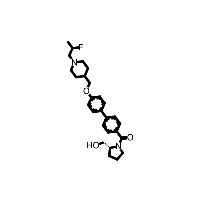 CC(F)CN1CCC(COc2ccc(-c3ccc(C(=O)N4CCC[C@@H]4CO)cc3)cc2)CC1